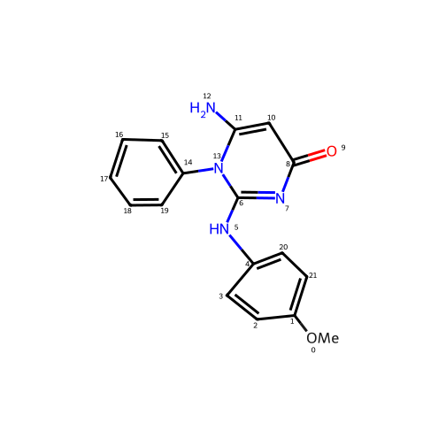 COc1ccc(Nc2nc(=O)cc(N)n2-c2ccccc2)cc1